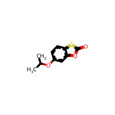 CC(C)Oc1ccc2sc(=O)oc2c1